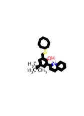 CC(C)(C)c1cc(CSC2CCCCCCC2)c(O)c(-c2ccc3ccccc3n2)c1